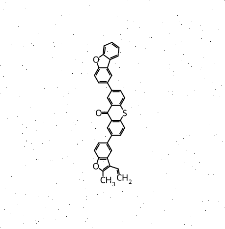 C=Cc1c(C)oc2ccc(-c3ccc4sc5ccc(-c6ccc7oc8ccccc8c7c6)cc5c(=O)c4c3)cc12